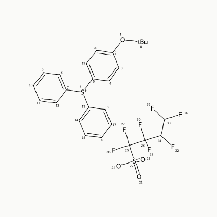 CC(C)(C)Oc1ccc([S+](c2ccccc2)c2ccccc2)cc1.O=S(=O)([O-])C(F)(F)C(F)(F)C(F)C(F)F